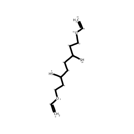 C=COCCC(S)CCC(S)CCOC=C